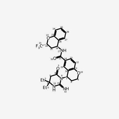 CCC1(CC)CC(=O)N([C@@H]2CCOc3ccc(C(=O)N[C@H]4C[C@H](C(F)(F)F)Oc5ccccc54)cc32)C(=N)N1